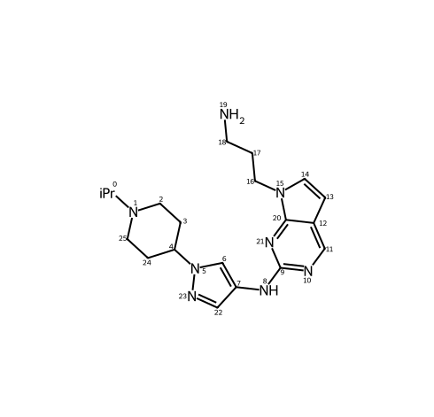 CC(C)N1CCC(n2cc(Nc3ncc4ccn(CCCN)c4n3)cn2)CC1